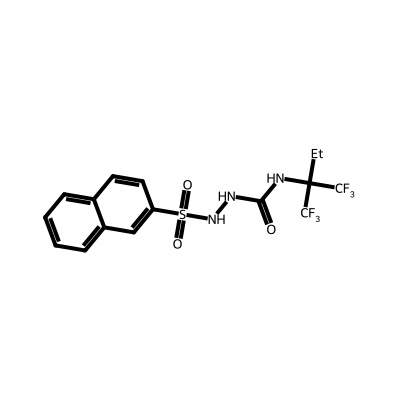 CCC(NC(=O)NNS(=O)(=O)c1ccc2ccccc2c1)(C(F)(F)F)C(F)(F)F